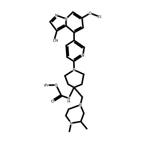 CCOc1cc(-c2ccc(N3CCC(CN4CCN(C)C(C)C4)(NC(=O)OC(C)C)CC3)nc2)c2c(C#N)cnn2c1